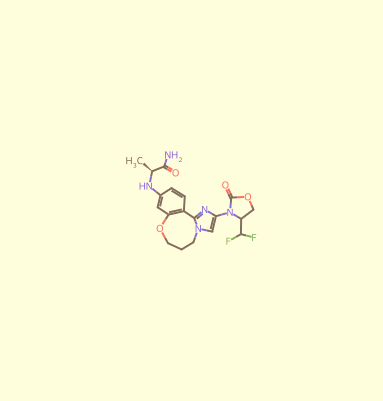 C[C@H](Nc1ccc2c(c1)OCCCn1cc(N3C(=O)OCC3C(F)F)nc1-2)C(N)=O